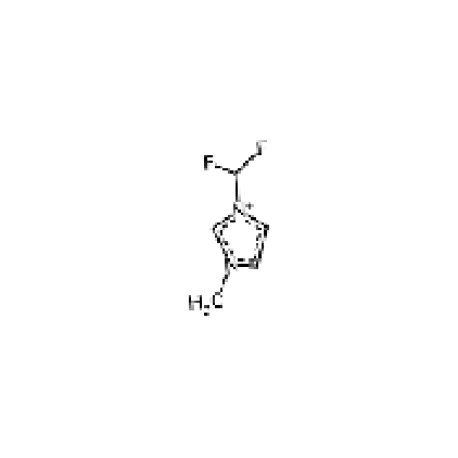 Cn1cc[n+](C(F)F)c1